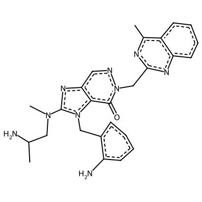 Cc1nc(Cn2ncc3nc(N(C)CC(C)N)n(Cc4ccccc4N)c3c2=O)nc2ccccc12